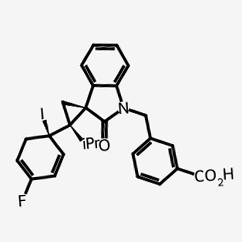 CC(C)[C@@]1([C@]2(I)C=CC(F)=CC2)C[C@@]12C(=O)N(Cc1cccc(C(=O)O)c1)c1ccccc12